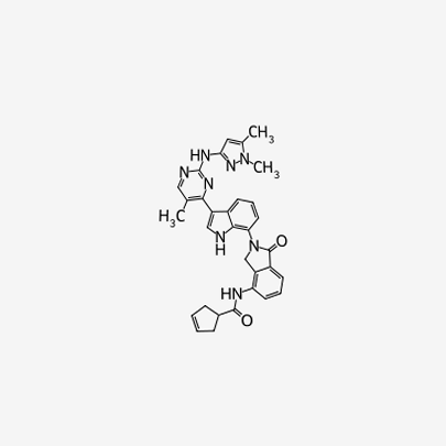 Cc1cnc(Nc2cc(C)n(C)n2)nc1-c1c[nH]c2c(N3Cc4c(NC(=O)C5CC=CC5)cccc4C3=O)cccc12